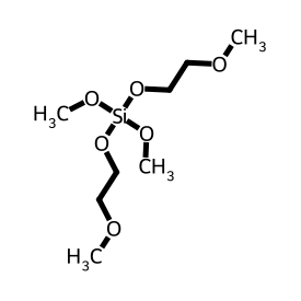 COCCO[Si](OC)(OC)OCCOC